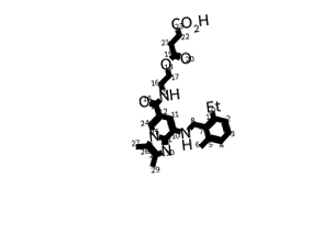 CCc1cccc(C)c1CNc1cc(C(=O)NCCOC(=O)CCC(=O)O)cn2c(C)c(C)nc12